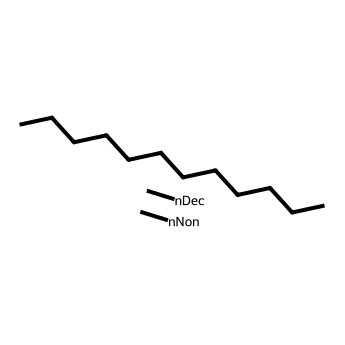 CCCCCCCCCC.CCCCCCCCCCC.CCCCCCCCCCCC